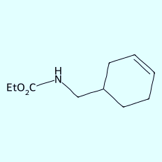 CCOC(=O)NCC1CC=CCC1